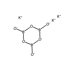 [K+].[K+].[K+].[O-]B1OB([O-])OB([O-])O1